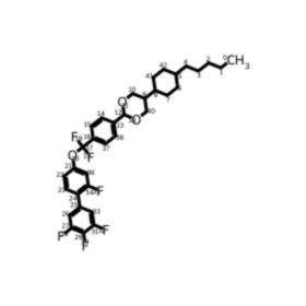 CCCCCC1CCC(C2COC(c3ccc(C(F)(F)Oc4ccc(-c5cc(F)c(F)c(F)c5)c(F)c4)cc3)OC2)CC1